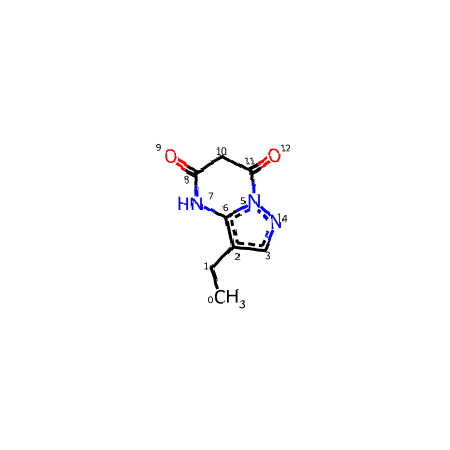 CCc1cnn2c1NC(=O)CC2=O